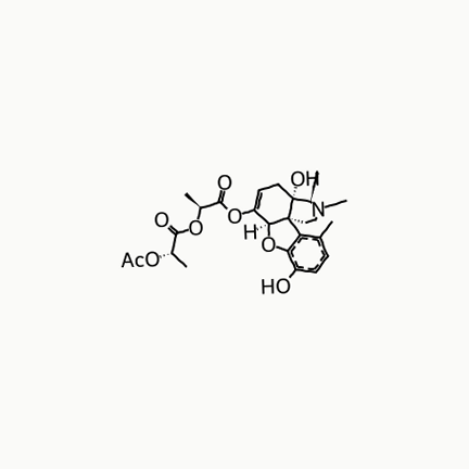 CC(=O)O[C@@H](C)C(=O)O[C@@H](C)C(=O)OC1=CC[C@@]2(O)[C@@H](C)N(C)CC[C@@]23c2c(C)ccc(O)c2O[C@@H]13